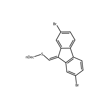 CCCCCCCCCCSC=C1c2cc(Br)ccc2-c2ccc(Br)cc21